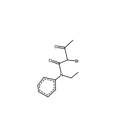 CCN(C(=O)C(Br)C(C)=O)c1ccccc1